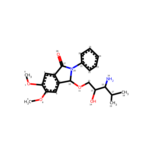 COc1cc2c(cc1OC)C(OCC(O)C(N)C(C)C)N(c1ccccc1)C2=O